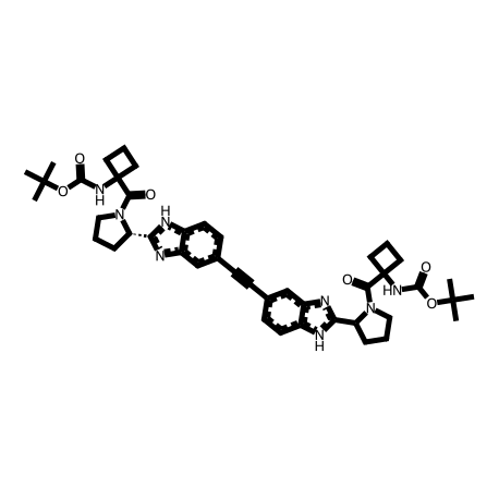 CC(C)(C)OC(=O)NC1(C(=O)N2CCCC2c2nc3cc(C#Cc4ccc5[nH]c([C@@H]6CCCN6C(=O)C6(NC(=O)OC(C)(C)C)CCC6)nc5c4)ccc3[nH]2)CCC1